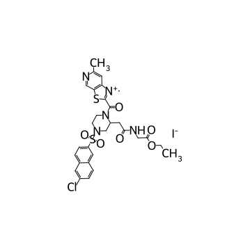 CCOC(=O)CNC(=O)CC1CN(S(=O)(=O)c2ccc3cc(Cl)ccc3c2)CCN1C(=O)C1=[N+]c2cc(C)ncc2S1.[I-]